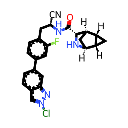 N#C[C@H](Cc1ccc(-c2ccc3cn(Cl)nc3c2)cc1F)NC(=O)[C@H]1N[C@H]2C[C@@H]1[C@@H]1C[C@@H]12